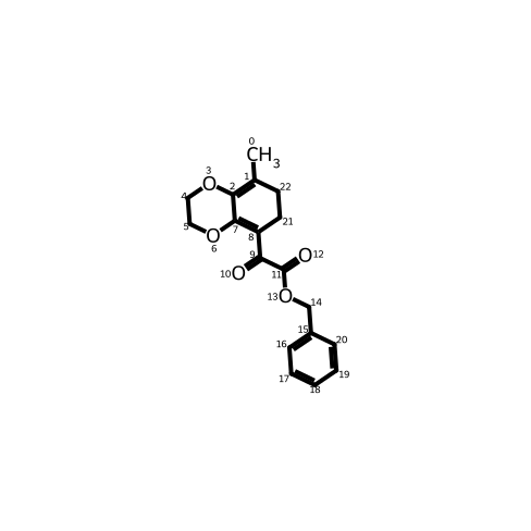 CC1=C2OCCOC2=C(C(=O)C(=O)OCc2ccccc2)CC1